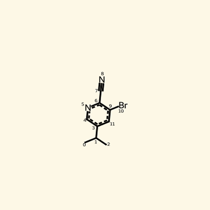 CC(C)c1cnc(C#N)c(Br)c1